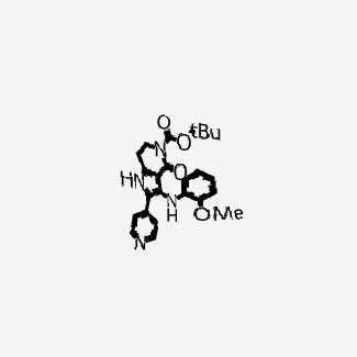 COc1ccccc1Nc1c(-c2ccncc2)[nH]c2c1C(=O)N(C(=O)OC(C)(C)C)CC2